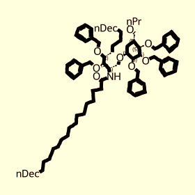 CCCCCCCCCCCCCCCCCCCCCCCCCC(=O)N[C@@H](CO[C@H]1C[C@H](COCCC)[C@H](OCc2ccccc2)[C@H](OCc2ccccc2)[C@H]1OCc1ccccc1)[C@H](OCc1ccccc1)[C@@H](CCCCCCCCCCCCCC)OCc1ccccc1